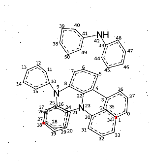 c1ccc(-c2cccc(N(c3ccccc3)c3ccccc3)c2N(c2ccccc2)c2ccccc2)cc1.c1ccc(Nc2ccccc2)cc1